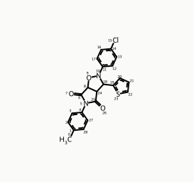 Cc1ccc(N2C(=O)C3ON(c4ccc(Cl)cc4)C(c4cccs4)C3C2=O)cc1